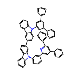 c1ccc(-c2cc(-c3ccccc3)cc(-n3c4ccccc4c4cc(-c5ccc6c7ccccc7n(-c7cccc(-c8cc(-c9ccccc9)cc(-c9ccccc9)n8)c7)c6c5)ccc43)c2)cc1